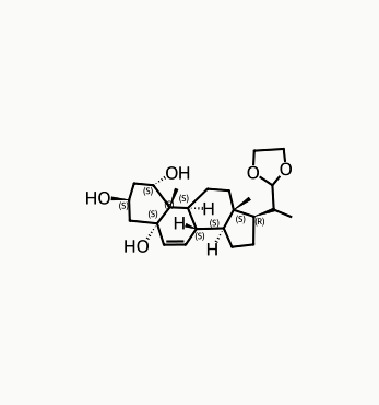 CC(C1OCCO1)[C@H]1CC[C@H]2[C@@H]3C=C[C@@]4(O)C[C@@H](O)C[C@H](O)[C@]4(C)[C@H]3CC[C@]12C